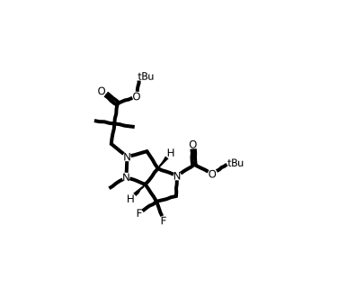 CN1[C@@H]2[C@H](CN1CC(C)(C)C(=O)OC(C)(C)C)N(C(=O)OC(C)(C)C)CC2(F)F